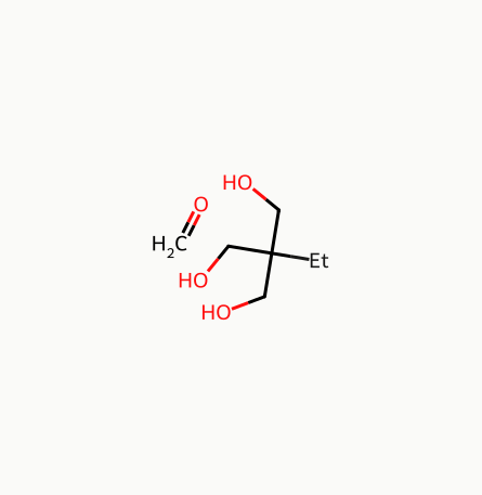 C=O.CCC(CO)(CO)CO